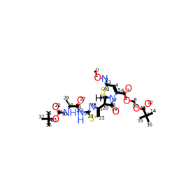 CO/N=C1/C=C(C(=O)OCOC(=O)C(C)(C)C)N2C(=O)C(c3csc(NC(=O)[C@H](C)NC(=O)OC(C)(C)C)n3)[C@H]2S1